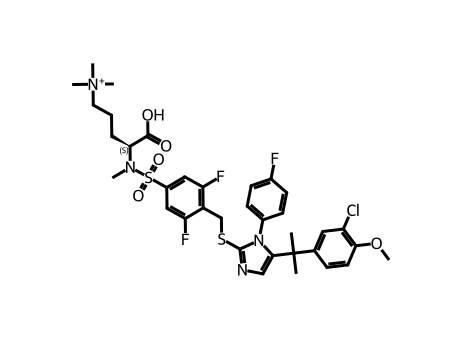 COc1ccc(C(C)(C)c2cnc(SCc3c(F)cc(S(=O)(=O)N(C)[C@@H](CCC[N+](C)(C)C)C(=O)O)cc3F)n2-c2ccc(F)cc2)cc1Cl